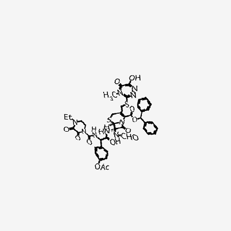 CCN1CCN(C(=O)NC(C(=O)N[C@@]2(NC=O)C(=O)N3C(C(=O)OC(c4ccccc4)c4ccccc4)=C(CSc4nnc(O)c(=O)n4C)CS[C@H]32)c2ccc(OC(C)=O)cc2)C(=O)C1=O